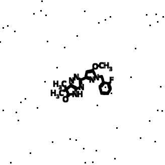 COc1cc(-c2nnc3c(n2)NC(=O)C3(C)C)nn1Cc1ccccc1F